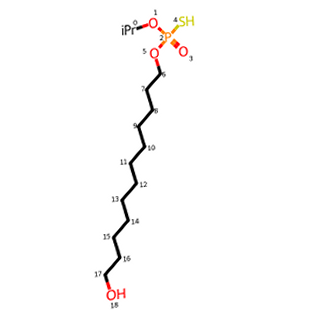 CC(C)OP(=O)(S)OCCCCCCCCCCCCO